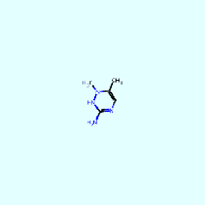 CC1=CN=C(N)NN1C